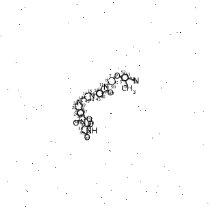 CCc1cc(O[C@H]2CC[C@H](N3Cc4cc(N5CCC(CN6CCc7cc8c(cc7C6)C(=O)N(C6CCC(=O)NC6=O)C8=O)CC5)ccc4C3=O)CC2)ccc1C#N